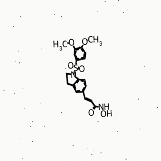 COc1ccc(S(=O)(=O)N2CCc3cc(/C=C/C(=O)NO)ccc32)cc1OC